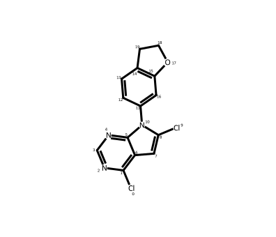 Clc1ncnc2c1cc(Cl)n2-c1ccc2c(c1)OCC2